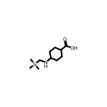 C[Si](C)(C)CNC1CCC(C(=O)O)CC1